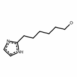 [O]CCCCCCc1ncc[nH]1